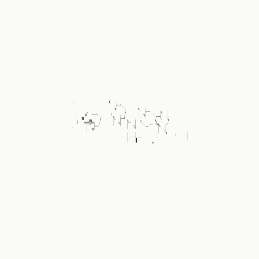 CC(n1c(CO)nc2cnc(Nc3ccnc(-c4cnn([S+]([O-])C5CC5)c4)n3)cc21)C(F)(F)F